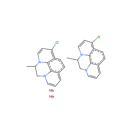 Br.Br.CC1CN2C=CC=c3ccc4c(c32)N1C=CC=4Cl.CC1CN2C=CC=c3ccc4c(c32)N1C=CC=4Cl